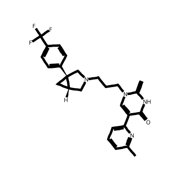 C=C1NC(=O)C(c2cccc(C)n2)=CN1CCCN1C[C@@H]2C[C@]2(c2ccc(C(F)(F)F)cc2)C1